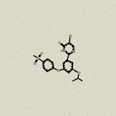 CC(C)Oc1cc(Oc2ccc(S(C)(=O)=O)cc2)cc(-c2ncc(Cl)c(=O)[nH]2)c1